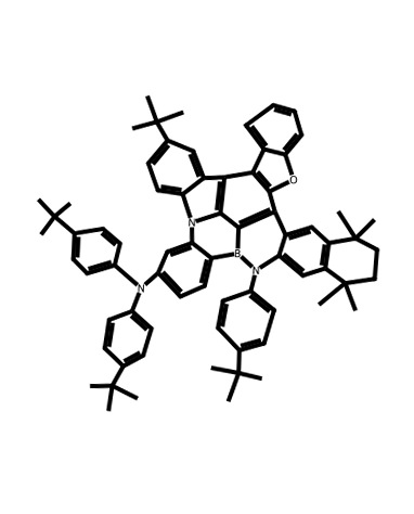 CC(C)(C)c1ccc(N2B3c4ccc(N(c5ccc(C(C)(C)C)cc5)c5ccc(C(C)(C)C)cc5)cc4-n4c5ccc(C(C)(C)C)cc5c5c6c(oc7ccccc76)c(c3c54)-c3cc4c(cc32)C(C)(C)CCC4(C)C)cc1